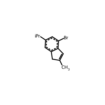 CC1=Cc2c(Br)cc(C(C)C)cc2C1